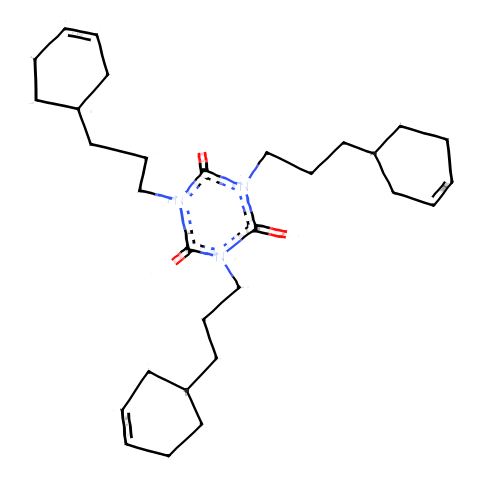 O=c1n(CCCC2CC=CCC2)c(=O)n(CCCC2CC=CCC2)c(=O)n1CCCC1CC=CCC1